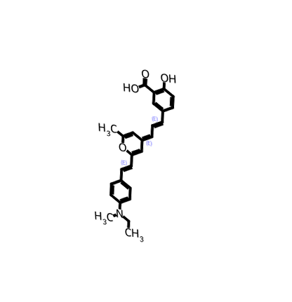 CCN(C)c1ccc(/C=C/C2=CC(=C/C=C/c3ccc(O)c(C(=O)O)c3)/C=C(C)O2)cc1